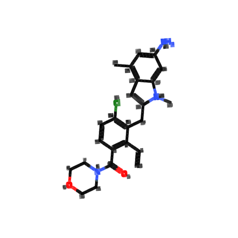 C=Cc1c(C(=O)N2CCOCC2)ccc(Cl)c1Cc1cc2c(C)cc(N)cc2n1C